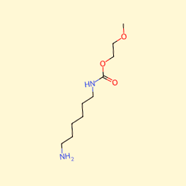 COCCOC(=O)NCCCCCCN